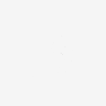 COC(=O)C1(N2C(=O)c3ccc(Br)cc3C3(CC3)C2=O)CC1